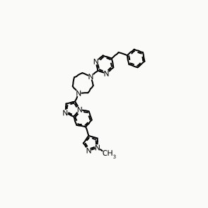 Cn1cc(-c2ccn3c(N4CCCN(c5ncc(Cc6ccccc6)cn5)CC4)cnc3c2)cn1